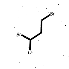 [O]C(Br)CCBr